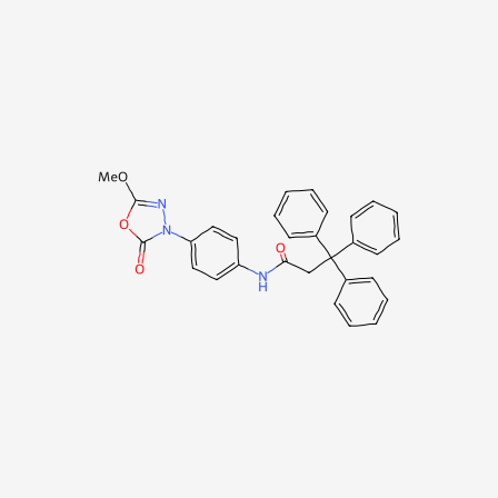 COc1nn(-c2ccc(NC(=O)CC(c3ccccc3)(c3ccccc3)c3ccccc3)cc2)c(=O)o1